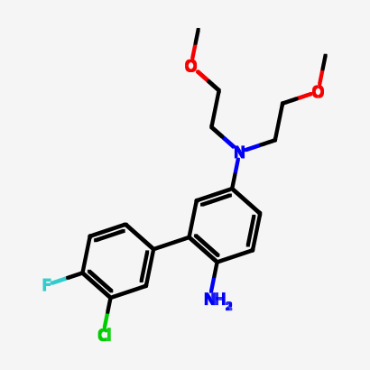 COCCN(CCOC)c1ccc(N)c(-c2ccc(F)c(Cl)c2)c1